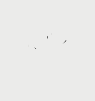 C[C@H]1O[CH][C@H](O)[C@@H](O)[C@H]1O.O